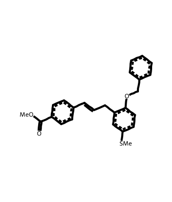 COC(=O)c1ccc(C=CCc2cc(SC)ccc2OCc2ccccc2)cc1